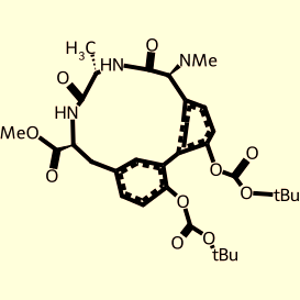 CN[C@@H]1C(=O)N[C@@H](C)C(=O)N[C@H](C(=O)OC)Cc2ccc(OC(=O)OC(C)(C)C)c(c2)-c2cc1ccc2OC(=O)OC(C)(C)C